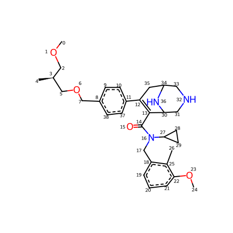 COC[C@H](C)COCc1ccc(C2=C(C(=O)N(Cc3cccc(OC)c3C)C3CC3)C3CNCC(C2)N3)cc1